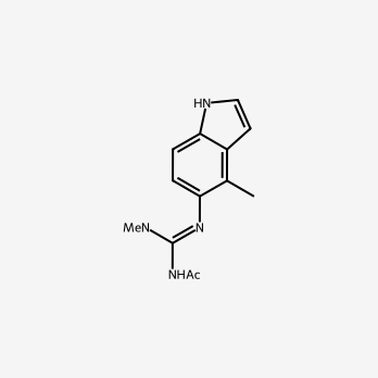 CN/C(=N\c1ccc2[nH]ccc2c1C)NC(C)=O